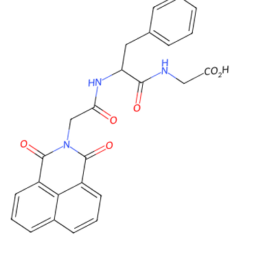 O=C(O)CNC(=O)C(Cc1ccccc1)NC(=O)CN1C(=O)c2cccc3cccc(c23)C1=O